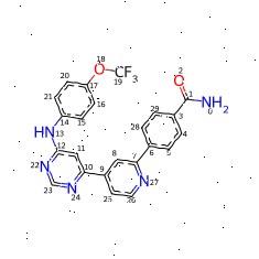 NC(=O)c1ccc(-c2cc(-c3cc(Nc4ccc(OC(F)(F)F)cc4)ncn3)ccn2)cc1